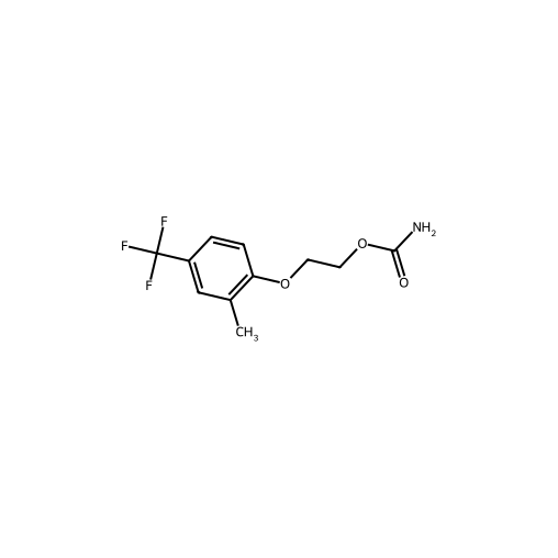 Cc1cc(C(F)(F)F)ccc1OCCOC(N)=O